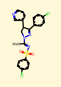 CN/C(=N\S(=O)(=O)c1ccc(Cl)cc1)N1CC(c2cccnc2)C(c2ccc(Cl)cc2)=N1